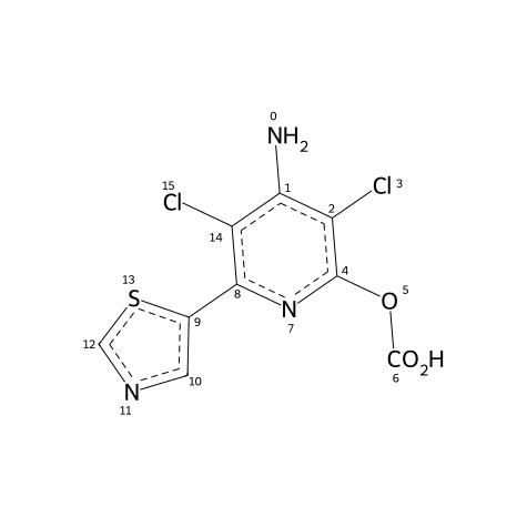 Nc1c(Cl)c(OC(=O)O)nc(-c2cncs2)c1Cl